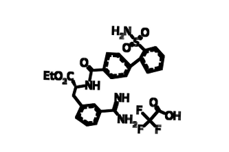 CCOC(=O)[C@H](Cc1cccc(C(=N)N)c1)NC(=O)c1ccc(-c2ccccc2S(N)(=O)=O)cc1.O=C(O)C(F)(F)F